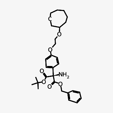 CC(C)(C)OC(=O)[C@@](N)(C(=O)OCc1ccccc1)c1ccc(OCCOC2CCCCCCC2)cc1